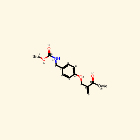 C=C(COc1ccc(CNC(=O)OC(C)(C)C)cc1)C(=O)OC